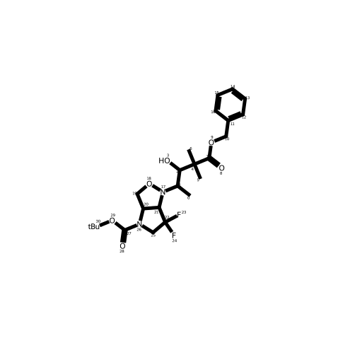 CC(C(O)C(C)(C)C(=O)OCc1ccccc1)N1OCC2C1C(F)(F)CN2C(=O)OC(C)(C)C